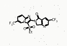 CCS(=O)(=O)c1c(N2Cc3ncc(C(F)(F)F)cc3C2=O)nc2ccc(C(F)(F)F)cn12